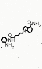 NC(=O)c1cccc2c1ccn2CCCCCC(=O)Nc1ccccc1N